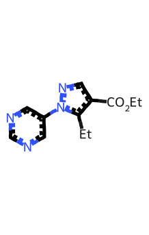 CCOC(=O)c1cnn(-c2cncnc2)c1CC